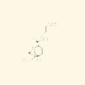 CNCCONC(=O)[C@@H]1CC[C@@H]2CN1C(=O)N2OC